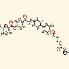 C=CC(=O)OCCCOc1ccc(-c2ccc(/C=C/C(=O)c3ccc(OC(=O)C(=C)CO)cc3)cc2)cc1F